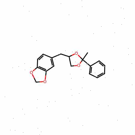 CC1(c2ccccc2)OCC(Cc2ccc3c(c2)OCO3)O1